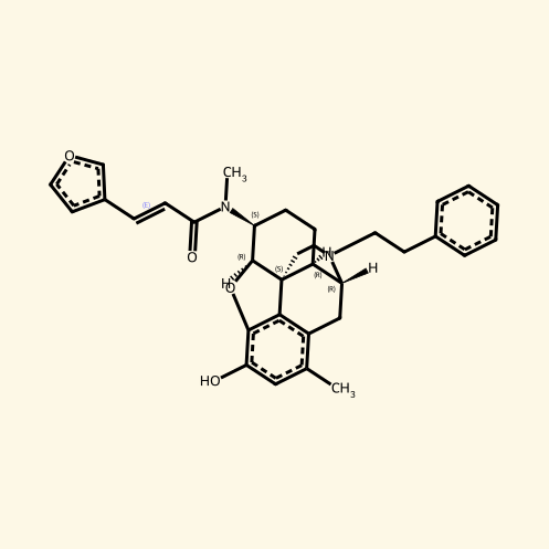 Cc1cc(O)c2c3c1C[C@@H]1[C@@H]4CC[C@H](N(C)C(=O)/C=C/c5ccoc5)[C@H](O2)[C@]34CCN1CCc1ccccc1